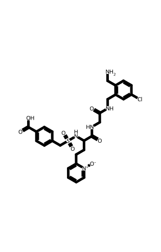 NCc1ccc(Cl)cc1CNC(=O)CNC(=O)C(CCc1cccc[n+]1[O-])NS(=O)(=O)Cc1ccc(C(=O)O)cc1